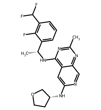 Cc1nc(N[C@H](C)c2cccc(C(F)F)c2F)c2cc(N[C@@H]3CCOC3)ncc2n1